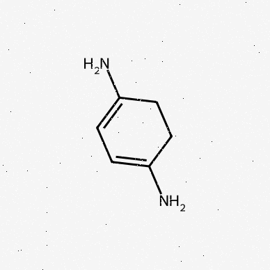 NC1=CC=C(N)CC1